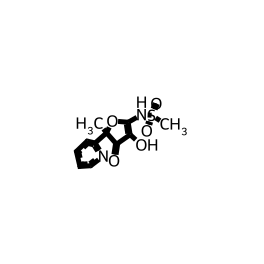 CC1(c2ccccn2)OC(NS(C)(=O)=O)=C(O)C1=O